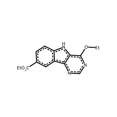 CCOC(=O)c1ccc2[nH]c3c(OCC)ncnc3c2c1